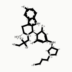 C[C@@H]1Cc2c([nH]c3ccc(F)cc23)[C@@H](C2C(F)=CC(N[C@H]3CCN(CCCF)C3)=CC2F)N1CC(F)(F)CF